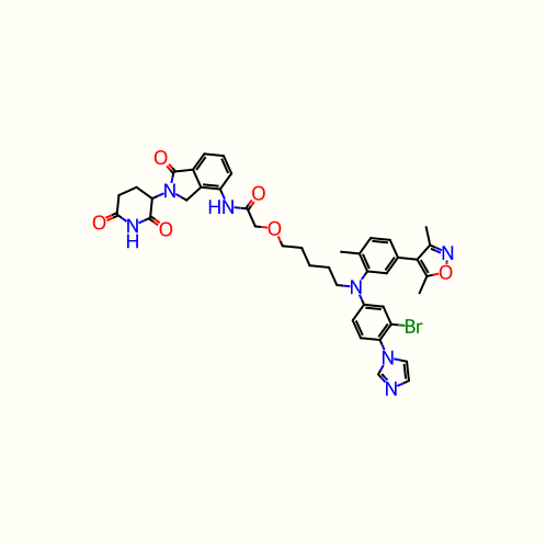 Cc1ccc(-c2c(C)noc2C)cc1N(CCCCCOCC(=O)Nc1cccc2c1CN(C1CCC(=O)NC1=O)C2=O)c1ccc(-n2ccnc2)c(Br)c1